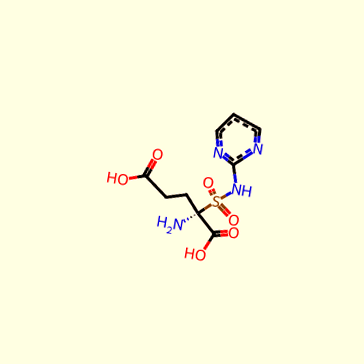 N[C@@](CCC(=O)O)(C(=O)O)S(=O)(=O)Nc1ncccn1